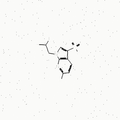 O=S(=O)(Cl)c1cn(CC(F)F)c2nc(Cl)ccc12